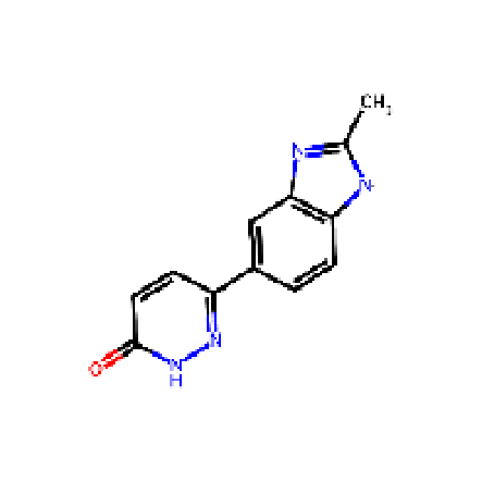 CC1=Nc2cc(-c3ccc(=O)[nH]n3)ccc2[N]1